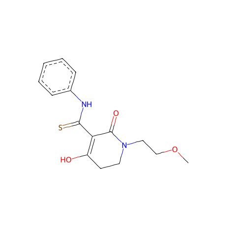 COCCN1CCC(O)=C(C(=S)Nc2ccccc2)C1=O